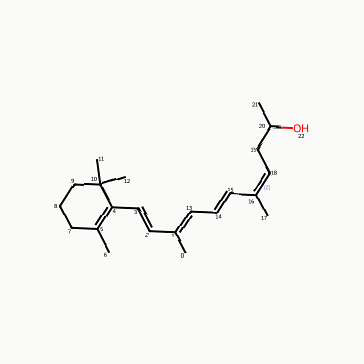 CC(C=CC1=C(C)CCCC1(C)C)=CC=C/C(C)=C\CC(C)O